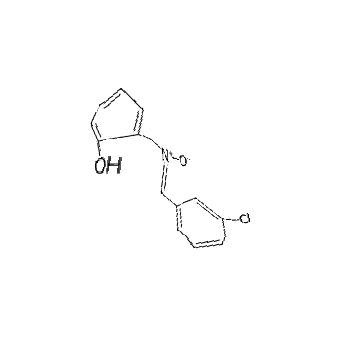 [O-][N+](=Cc1cccc(Cl)c1)c1ccccc1O